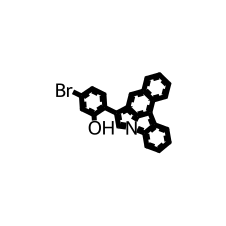 Oc1cc(Br)ccc1-c1cn2c3ccccc3c3c4ccccc4cc1c32